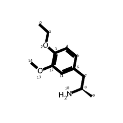 CCOc1ccc(C[C@@H](C)N)cc1OC